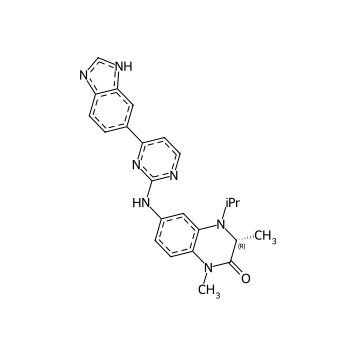 CC(C)N1c2cc(Nc3nccc(-c4ccc5nc[nH]c5c4)n3)ccc2N(C)C(=O)[C@H]1C